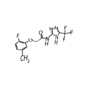 Cc1ccc(F)c(OCC(=O)Nc2nnc(C(F)(F)F)[nH]2)c1